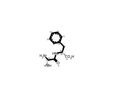 CCCC[C@H](N)C(=O)N[C@H](Cc1ccccc1)C(=O)O